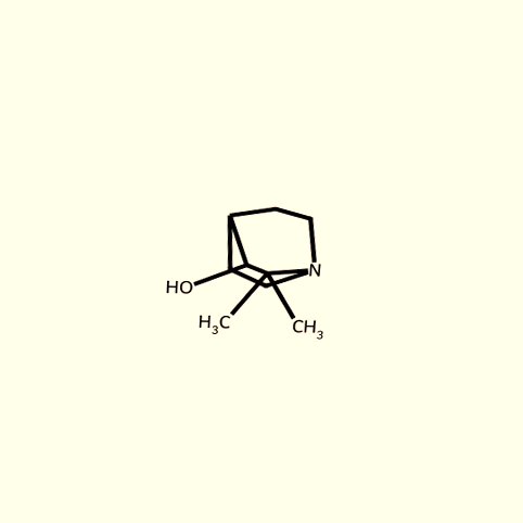 CC1(C)C(O)C2CCN1CC2